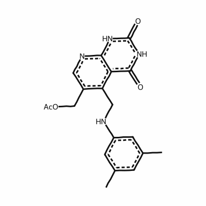 CC(=O)OCc1cnc2[nH]c(=O)[nH]c(=O)c2c1CNc1cc(C)cc(C)c1